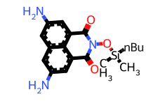 CCCC[Si](C)(C)ON1C(=O)c2cc(N)cc3cc(N)cc(c23)C1=O